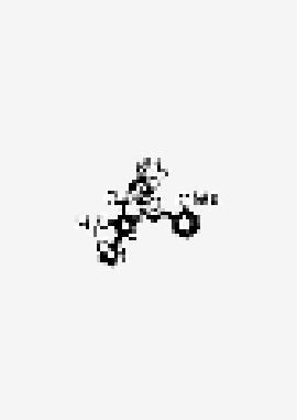 COc1ccccc1CCN1c2sc(-c3ncco3)c(C)c2C(=O)N(CC(N)=O)S1(=O)=O